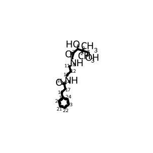 CC(C)(CO)[C@@H](O)C1OC1NCCCNC(=O)CCc1ccccc1